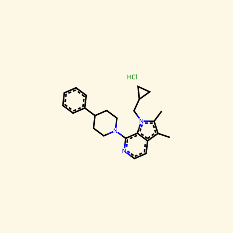 Cc1c(C)n(CC2CC2)c2c(N3CCC(c4ccccc4)CC3)nccc12.Cl